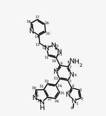 Cn1ccc(-c2nc(N)c(-c3cn(Cc4ccccn4)nn3)nc2-c2ccc3[nH]ncc3c2)n1